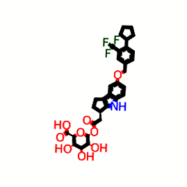 O=C(C[C@H]1CCc2c1[nH]c1ccc(OCc3ccc(C4CCCC4)c(C(F)(F)F)c3)cc21)O[C@H]1O[C@H](C(=O)O)[C@@H](O)[C@H](O)[C@H]1O